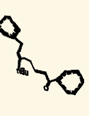 CCCCC(C=Cc1ccccc1)CC=CC(=O)c1ccccc1